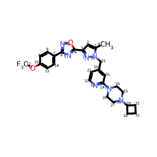 Cc1cc(-c2nc(-c3ccc(OC(F)(F)F)cc3)no2)nn1Cc1ccnc(N2CCN(C3CCC3)CC2)c1